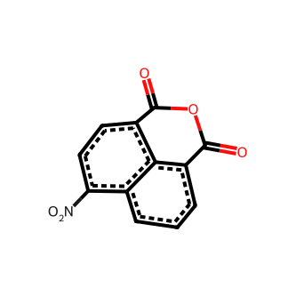 O=C1OC(=O)c2ccc([N+](=O)[O-])c3cccc1c23